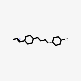 C/C=C/C1CCC(CCCC[C@H]2CC[C@H](CC)CC2)CC1